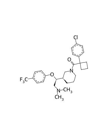 CN(C)C[C@@H](Oc1ccc(C(F)(F)F)cc1)[C@@H]1CCCN(C(=O)C2(c3ccc(Cl)cc3)CCC2)C1